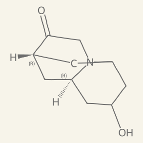 O=C1CN2C3CC(O)C[C@H]2C[C@H]1C3